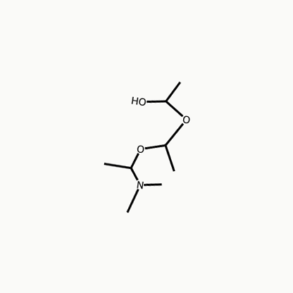 CC(O)OC(C)OC(C)N(C)C